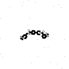 O=C(NCc1ccn2ccnc2c1)c1ccc(C2CCN(C(=O)c3cccc4ncsc34)CC2)cc1